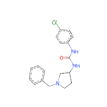 O=C(Nc1ccc(Cl)cc1)NC1CCN(Cc2ccccc2)C1